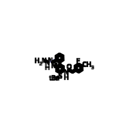 Cc1ccc(CC(=O)Nc2cc(-c3ccccc3/C(N)=N/NN)ccc2SC(C)(C)C)cc1F